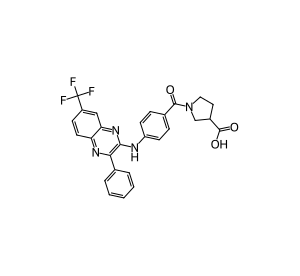 O=C(O)C1CCN(C(=O)c2ccc(Nc3nc4cc(C(F)(F)F)ccc4nc3-c3ccccc3)cc2)C1